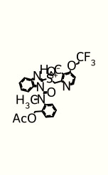 CC(=O)OCc1ccccc1N(C)C(=O)n1c([S+]([O-])Cc2nccc(OCC(F)(F)F)c2C)nc2ccccc21